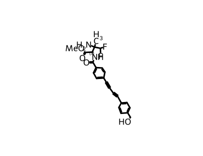 COC(=O)[C@@H](NC(=O)c1ccc(C#CC#Cc2ccc(CO)cc2)cc1)C(C)(N)C(F)F